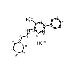 Cc1cc(-c2ccccc2)nnc1NCCN1CCOCC1.Cl